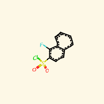 O=S(=O)(Cl)c1ccc2ccccc2c1F